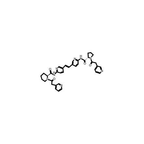 O=C(Nc1ccc(/C=C/c2ccc(NC(=O)[C@@H]3CCCN3C(=O)Cc3cccnc3)nc2)cn1)[C@@H]1CCCCN1C(=O)Cc1cccnc1